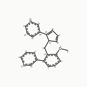 COc1cccc(-c2cccnc2)c1CC1C=CC=C1c1cccnc1